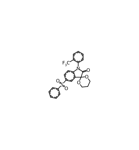 O=C1N(c2ccccc2C(F)(F)F)c2ccc(S(=O)(=O)c3ccccc3)cc2C12OCCCO2